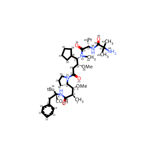 CO[C@H]([C@@H](C)C(=O)N[C@@](Cc1ccccc1)(C(=O)O)C(C)(C)C)[C@@H]1CCCN1C(=O)C[C@@H](OC)[C@H](C1CCCC1)N(C)C(=O)[C@@H](NC(=O)C(C)(C)N)C(C)C